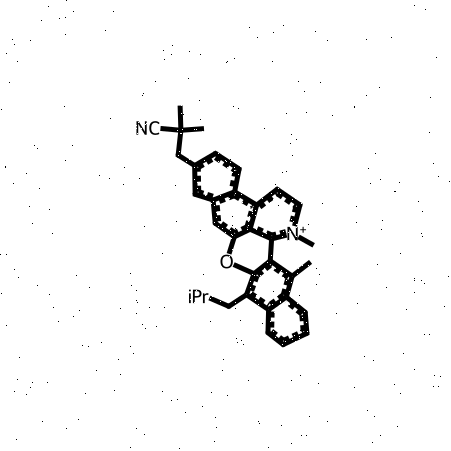 Cc1c2c(c(CC(C)C)c3ccccc13)Oc1cc3cc(CC(C)(C)C#N)ccc3c3cc[n+](C)c-2c13